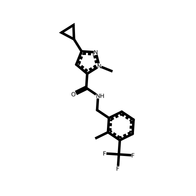 Cc1c(CNC(=O)c2cc(C3CC3)nn2C)cccc1C(F)(F)F